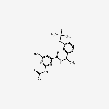 Cc1cc(C(=O)NC(C)c2cccc(OC(C)(C)F)c2)nc(NC(=O)C(C)C)n1